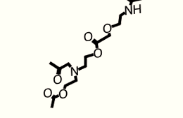 CCC(=O)NCCOCC(=O)OCCN(CCOC(C)=O)CC(C)=O